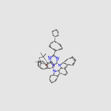 CC1(C)CC(C)(C)c2cc(-n3c4ccccc4c4ccc5c6ccccc6n(-c6nc(-c7ccccc7)nc(-c7ccc(-c8ccccc8)cc7)n6)c5c43)ccc21